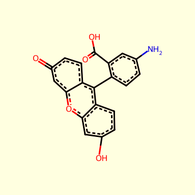 Nc1ccc(-c2c3ccc(=O)cc-3oc3cc(O)ccc23)c(C(=O)O)c1